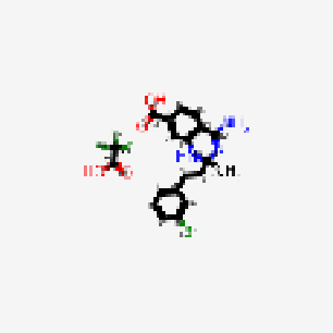 CC1(CCc2cccc(Br)c2)N=C(N)c2ccc(C(=O)O)cc2N1.O=C(O)C(F)(F)F